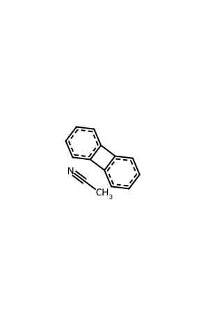 CC#N.c1ccc2c(c1)-c1ccccc1-2